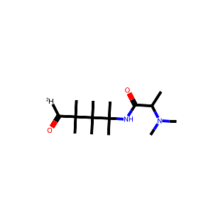 [2H]C(=O)C(C)(C)C(C)(C)C(C)(C)NC(=O)C(C)N(C)C